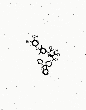 Cc1cc(-n2nc(C(=O)N3CCC(C(=O)N4CCCC4)(c4ccccc4)CC3)c(=O)[nH]c2=O)cc(C)c1Oc1ccc(O)c(Br)c1